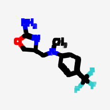 CN(CC1COC(N)=N1)c1ccc(C(F)(F)F)cc1